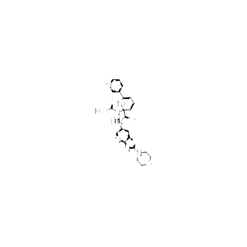 O=C(O)NC1(C(=O)Nc2cnc3nc(N4CCOCC4)sc3c2)C=CC=C(c2cccnc2)N1